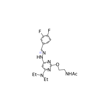 CCN(CC)c1cc(N/N=C/c2ccc(F)c(F)c2)nc(OCCNC(C)=O)n1